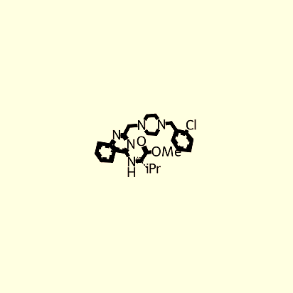 COC(=O)[C@@H](Nc1nc(CN2CCN(Cc3ccccc3Cl)CC2)nc2ccccc12)C(C)C